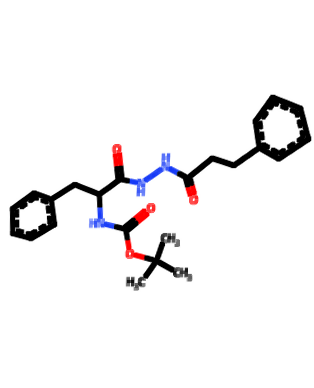 CC(C)(C)OC(=O)NC(Cc1ccccc1)C(=O)NNC(=O)CCc1ccccc1